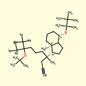 [2H]C([2H])([2H])C(CCCC(C)(CC#C)[C@H]1CCC2[C@@H](O[Si](C)(C)C(C)(C)C)CCC[C@@]21C)(O[Si](C)(C)C)C([2H])([2H])[2H]